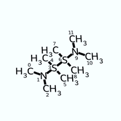 CN(C)S(C)(C)S(C)(C)N(C)C